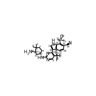 CC1(C)CC[C@H](Nc2ncc(C(F)(F)F)c(-c3c[nH]c4c(P(C)(C)=O)c(C#N)ccc34)n2)C[C@H]1N